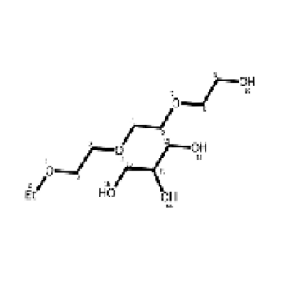 CCOCCOCCOCCO.OCC(O)CO